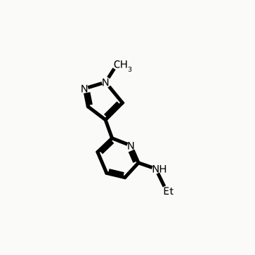 CCNc1cccc(-c2cnn(C)c2)n1